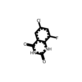 O=c1[nH]c(=O)c2cc(Cl)cc(F)c2[nH]1